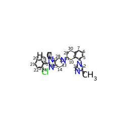 Cc1cn(-c2cccc3c2CC(N2CCc4nc(-c5ccccc5Cl)n(C)c4C2)CC3)cn1